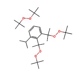 CC(C)(C)OOC(C)(C)C.CC(C)c1cccc(C(C)(C)OOC(C)(C)C)c1C(C)(C)OOC(C)(C)C